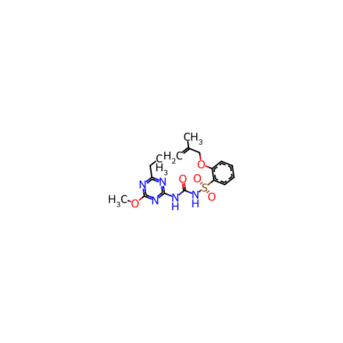 C=C(C)COc1ccccc1S(=O)(=O)NC(=O)Nc1nc(CC)nc(OC)n1